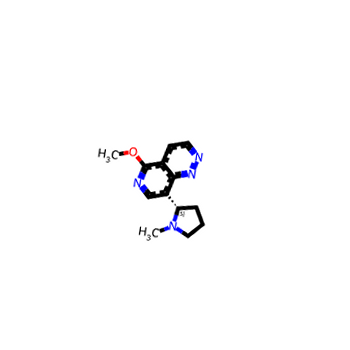 COc1ncc([C@@H]2CCCN2C)c2nnccc12